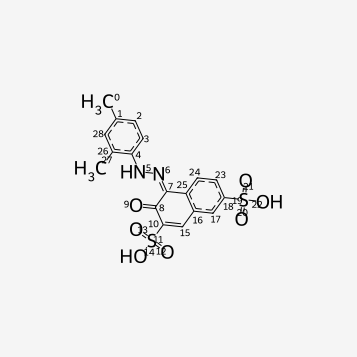 Cc1ccc(N/N=C2\C(=O)C(S(=O)(=O)O)=Cc3cc(S(=O)(=O)O)ccc32)c(C)c1